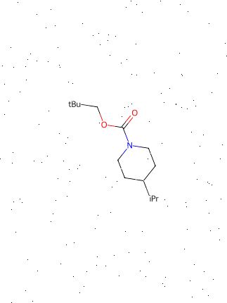 CC(C)C1CCN(C(=O)OCC(C)(C)C)CC1